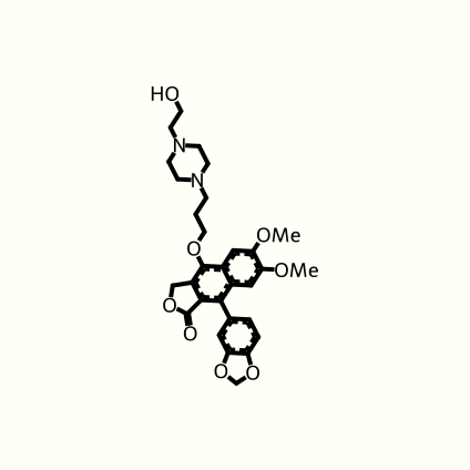 COc1cc2c(OCCCN3CCN(CCO)CC3)c3c(c(-c4ccc5c(c4)OCO5)c2cc1OC)C(=O)OC3